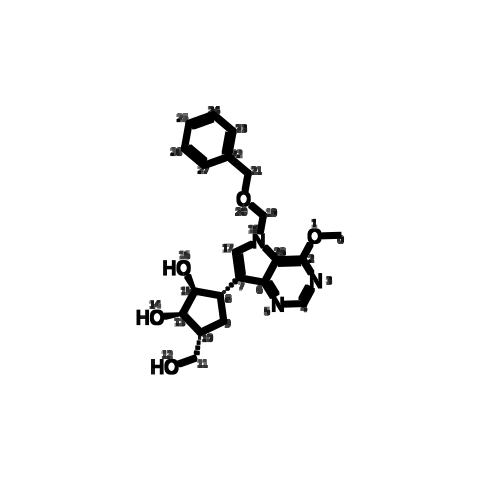 COc1ncnc2c([C@@H]3C[C@H](CO)[C@@H](O)[C@H]3O)cn(COCc3ccccc3)c12